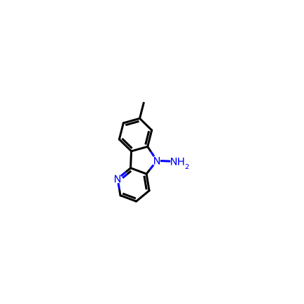 Cc1ccc2c3ncccc3n(N)c2c1